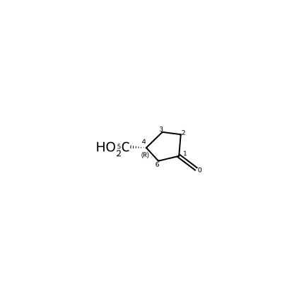 C=C1CC[C@@H](C(=O)O)C1